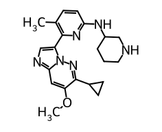 COc1cc2ncc(-c3nc(NC4CCCNC4)ccc3C)n2nc1C1CC1